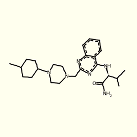 CC1CCC(N2CCN(Cc3nc(N[C@H](C(N)=O)C(C)C)c4ccccc4n3)CC2)CC1